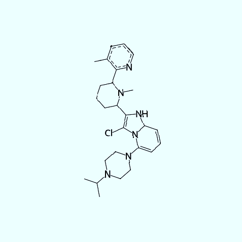 Cc1cccnc1C1CCCC(C2=C(Cl)N3C(N4CCN(C(C)C)CC4)=CC=CC3N2)N1C